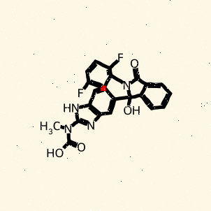 CN(C(=O)O)c1nc2cc(C3(O)c4ccccc4C(=O)N3c3cc(F)ccc3F)ccc2[nH]1